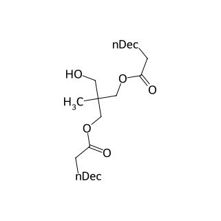 CCCCCCCCCCCC(=O)OCC(C)(CO)COC(=O)CCCCCCCCCCC